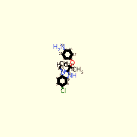 CCN1c2ccc(Cl)cc2NC1C(C)(C)Oc1ccc(N)cc1